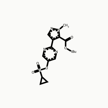 Cn1ncc(-c2ncc(OS(=O)(=O)C3CC3)cn2)c1C(=O)OC(C)(C)C